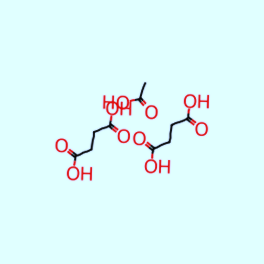 CC(=O)O.O=C(O)CCC(=O)O.O=C(O)CCC(=O)O